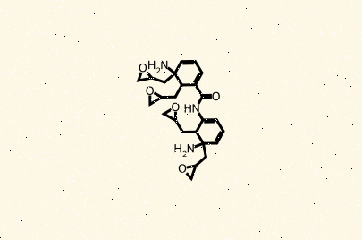 NC1(CC2CO2)C=CC=C(NC(=O)C2=CC=CC(N)(CC3CO3)C2CC2CO2)C1CC1CO1